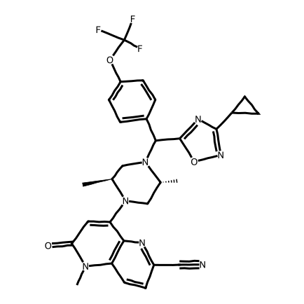 C[C@@H]1CN(c2cc(=O)n(C)c3ccc(C#N)nc23)[C@@H](C)CN1C(c1ccc(OC(F)(F)F)cc1)c1nc(C2CC2)no1